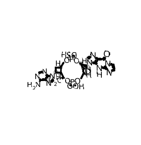 C=C1OP(=O)(O)OC[C@H]2O[C@@H](n3cnc4c(=O)n5ccnc5[nH]c43)[C@H](OP(=O)(S)OC[C@H]3C[C@@H](n4cnc5c(N)ncnc54)[C@H]13)[C@@H]2F